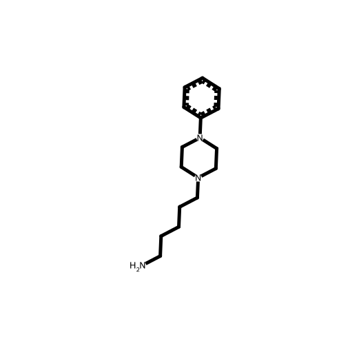 NCCCCCN1CCN(c2ccccc2)CC1